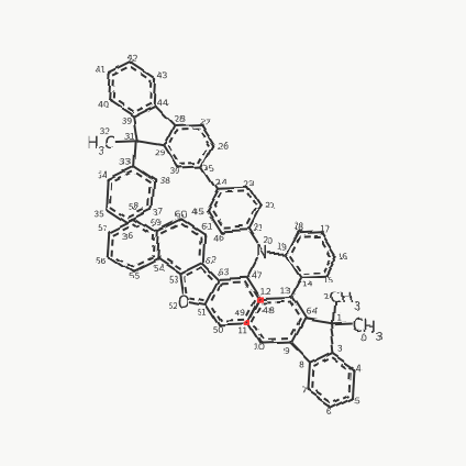 CC1(C)c2ccccc2-c2cccc(-c3ccccc3N(c3ccc(-c4ccc5c(c4)C(C)(c4ccccc4)c4ccccc4-5)cc3)c3cccc4oc5c6ccccc6ccc5c34)c21